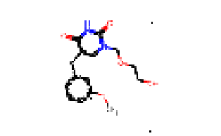 O=c1[nH]c(=O)n(COCCO)cc1Cc1cccc(OC(F)(F)F)c1